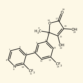 CC1(c2cc(-c3cccnc3C(F)(F)F)cc(C(F)(F)F)c2)OC(=O)C(O)=C1O